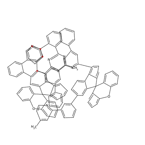 Cc1ccnc(-c2cccc(-c3ccc4c(c3)C3(c5ccccc5Oc5ccccc53)c3cccc(-c5cc(-c6ccccc6)nc(-c6cc(Cc7ccncc7-c7ccccc7-c7cc(-c8nc(C)nc(-c9ccccc9-c9ccccc9)n8)c8c(c7)C7(c9ccccc9Oc9ccccc97)c7ccccc7-8)cc(-c7ccccc7)c6)n5)c3-4)c2)c1